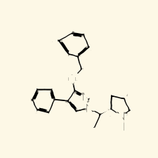 CC([C@H]1CCCN1)n1cc(-c2ccccc2)c(OCc2ccccc2)n1